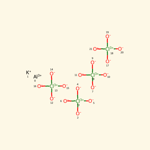 [Al+3].[K+].[O-][Cl+3]([O-])([O-])[O-].[O-][Cl+3]([O-])([O-])[O-].[O-][Cl+3]([O-])([O-])[O-].[O-][Cl+3]([O-])([O-])[O-]